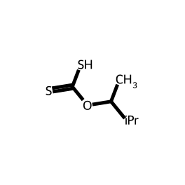 CC(C)C(C)OC(=S)S